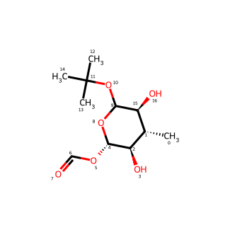 C[C@@H]1[C@@H](O)[C@H](OC=O)OC(OC(C)(C)C)[C@H]1O